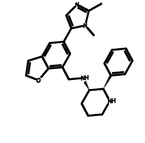 Cc1ncc(-c2cc(CN[C@H]3CCCN[C@H]3c3ccccc3)c3occc3c2)n1C